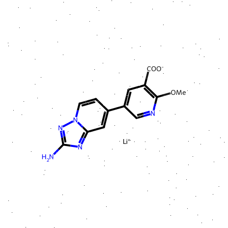 COc1ncc(-c2ccn3nc(N)nc3c2)cc1C(=O)[O-].[Li+]